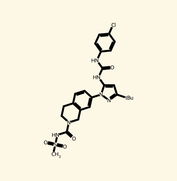 CC(C)(C)c1cc(NC(=O)Nc2ccc(Cl)cc2)n(-c2ccc3c(c2)CN(C(=O)NS(C)(=O)=O)CC3)n1